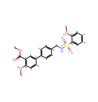 COC(=O)c1cc(-c2ccc(CNS(=O)(=O)c3ccccc3OC)cc2)ccc1OC